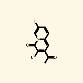 CC(=O)c1cc2ccc(F)cn2c(=O)c1Br